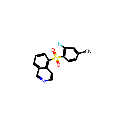 N#Cc1ccc(S(=O)(=O)c2cccc3cnccc23)c(F)c1